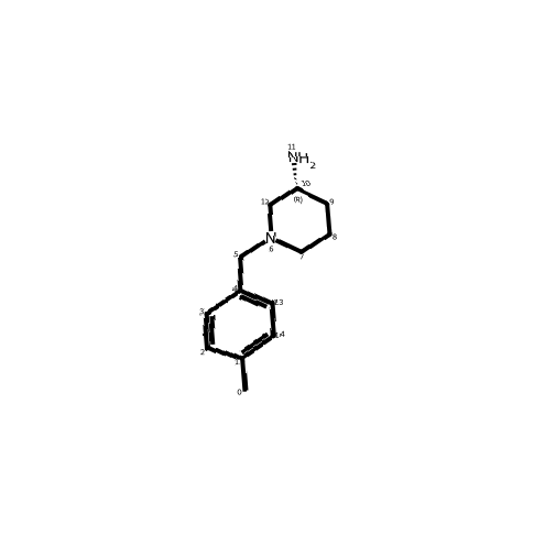 Cc1ccc(CN2CCC[C@@H](N)C2)cc1